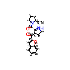 N#C[C@@H]1CCCN1C(=O)[C@@H]1NCCC1C(=O)c1cc2ccccc2o1